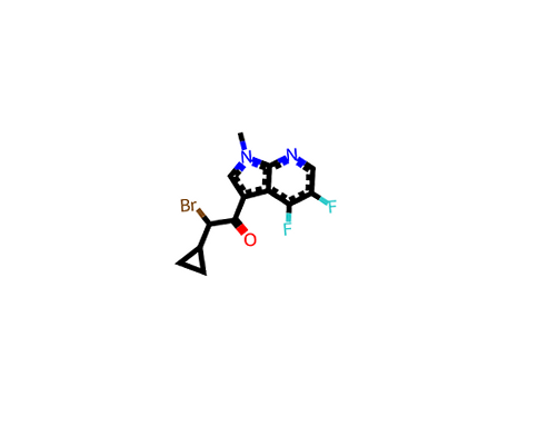 Cn1cc(C(=O)C(Br)C2CC2)c2c(F)c(F)cnc21